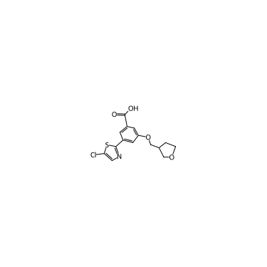 O=C(O)c1cc(OCC2CCOC2)cc(-c2ncc(Cl)s2)c1